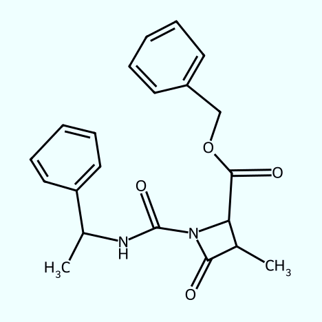 CC(NC(=O)N1C(=O)C(C)C1C(=O)OCc1ccccc1)c1ccccc1